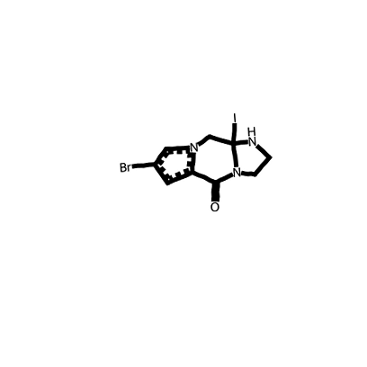 O=C1c2cc(Br)cn2CC2(I)NCCN12